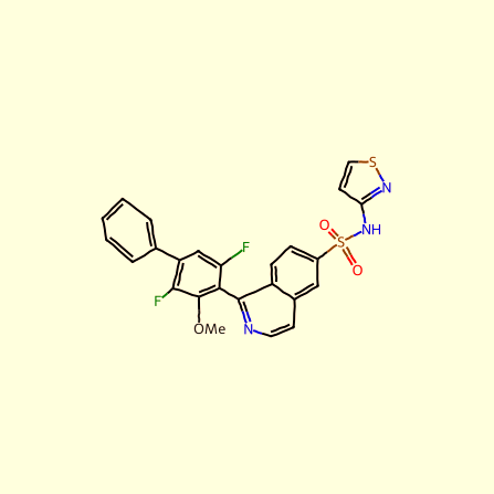 COc1c(F)c(-c2ccccc2)cc(F)c1-c1nccc2cc(S(=O)(=O)Nc3ccsn3)ccc12